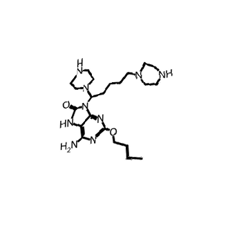 CCCCOc1nc(N)c2[nH]c(=O)n(C(CCCCN3CCNCC3)N3CCNCC3)c2n1